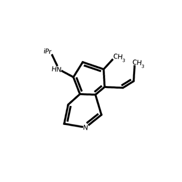 C/C=C\c1c(C)cc(NC(C)C)c2ccncc12